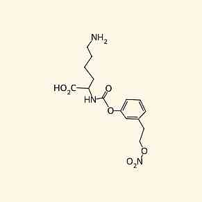 NCCCCC(NC(=O)Oc1cccc(CCO[N+](=O)[O-])c1)C(=O)O